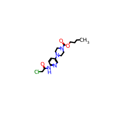 CCCCOC(=O)N1CCN(c2ccc(NC(=O)CCl)nc2)CC1